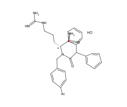 CC(=O)c1ccc(CN(C(=O)C(c2ccccc2)c2ccccc2)[C@H](CCCNC(=N)N)C(N)=O)cc1.Cl